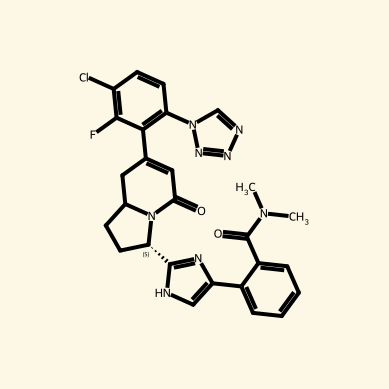 CN(C)C(=O)c1ccccc1-c1c[nH]c([C@@H]2CCC3CC(c4c(-n5cnnn5)ccc(Cl)c4F)=CC(=O)N32)n1